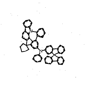 c1ccc(N(c2cc3c4c(c2)C2(CCCCC2)c2ccc5c6ccccc6n(c5c2-4)-c2ccccc2-3)c2ccc3c(c2)C2(c4ccccc4-c4ccccc42)c2ccccc2-3)cc1